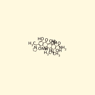 COc1c([C@H](C)N2CCCC2)cc(O)c2c1C[C@H]1C[C@H]3[C@H](N(C)C)C(O)=C(C(N)=O)C(=O)[C@@]3(O)C(O)=C1C2=O